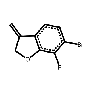 C=C1COc2c1ccc(Br)c2F